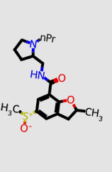 CCCN1CCCC1CNC(=O)c1cc([S+](C)[O-])cc2c1OC(C)C2